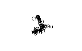 CCC1CC1(NC(=O)[C@@H]1C[C@@H](OC(=O)N2Cc3cccc(Cl)c3C2)CN1C(=O)OC(C)(C)C)C(=O)NS(=O)(=O)C1CC1